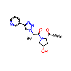 CNC(=O)[C@@H]1C[C@@H](O)CN1C(=O)[C@H](C(C)C)n1cc(-c2cccnc2)nn1